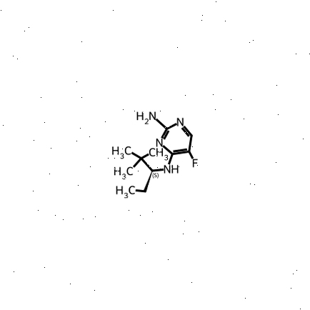 CC[C@H](Nc1nc(N)ncc1F)C(C)(C)C